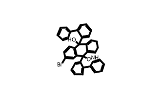 NOC1(c2ccccc2-c2ccccc2)C2=CCCC=C2C(O)(c2ccccc2-c2ccccc2)c2ccc(Br)cc21